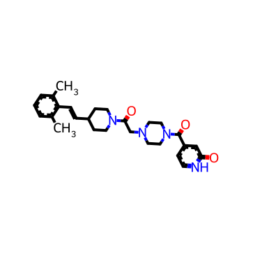 Cc1cccc(C)c1/C=C/C1CCN(C(=O)CN2CCN(C(=O)c3cc[nH]c(=O)c3)CC2)CC1